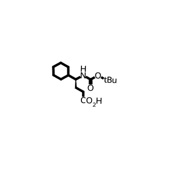 CC(C)(C)OC(=O)N[C@@H](CCC(=O)O)C1CCCCC1